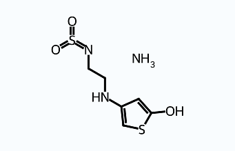 N.O=S(=O)=NCCNc1csc(O)c1